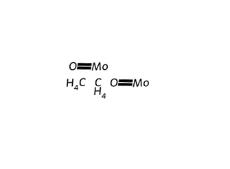 C.C.[O]=[Mo].[O]=[Mo]